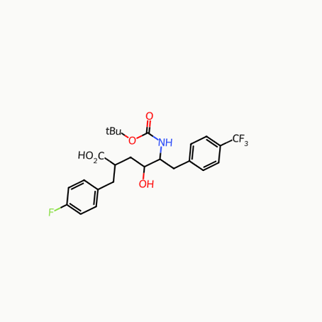 CC(C)(C)OC(=O)NC(Cc1ccc(C(F)(F)F)cc1)C(O)CC(Cc1ccc(F)cc1)C(=O)O